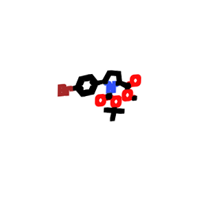 COC(=O)[C@@H]1CC[C@H](c2ccc(Br)cc2)N1C(=O)OC(C)(C)C